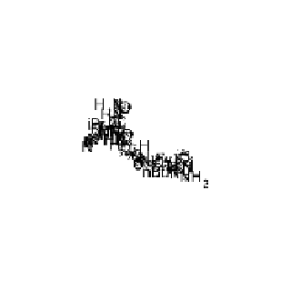 CCCCc1nc2c(N)nc3ccccc3c2n1Cc1ccc(CNC(=O)OCc2ccc(NC(=O)[C@H](CCCNC(N)=O)NC(=O)[C@@H](NC(=O)CN=[N+]=[N-])C(C)C)cc2)cc1